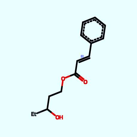 CCC(O)CCOC(=O)/C=C/c1ccccc1